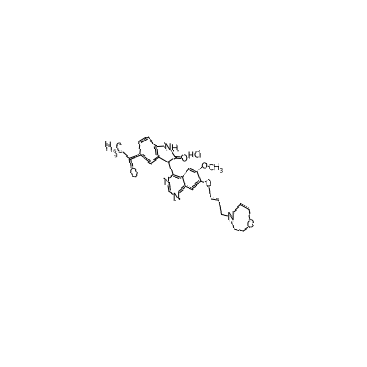 COc1cc2c(C3C(=O)Nc4ccc(C(C)=O)cc43)ncnc2cc1OCCCN1CCOCC1.Cl